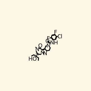 CCC(O)(CC)[C@H]1CN(C)C(=O)c2c3c(nn2C1)CCN(C(=O)Nc1cc(Cl)c(F)cc1F)C3